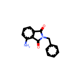 Nc1cccc2c1C(=O)N(Cc1ccccc1)C2=O